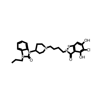 CCCn1c(=O)n(C2CCN(CCCCn3sc4cc(O)c(Cl)c(O)c4c3=O)CC2)c2ccccc21